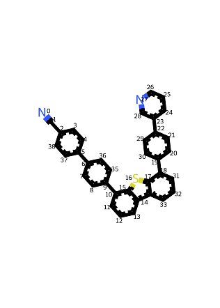 N#Cc1ccc(-c2ccc(-c3cccc4c3sc3c(-c5ccc(-c6cccnc6)cc5)cccc34)cc2)cc1